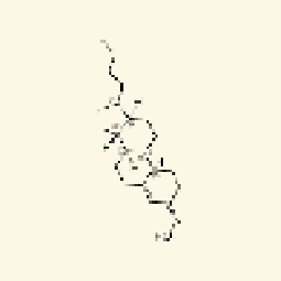 CCCC[C@@H]1CC[C@H]2[C@@H]3CCC4=CC(=NO)CC[C@@H]4[C@H]3CC[C@H]12